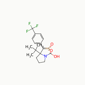 CC(C)(C)C1(C(=S=O)c2ccc(C(F)(F)F)cc2)CCCN1C(=O)O